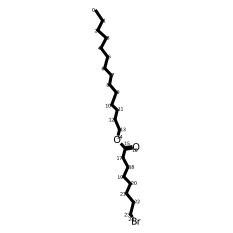 CCCCCCCCCCCCCCOC(=O)CCCCCCCBr